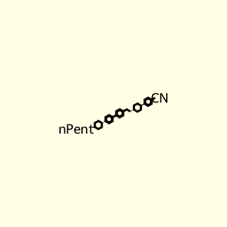 CCCCC[C@H]1CC[C@H](c2ccc(-c3ccc(CC[C@H]4CC[C@H](c5ccc(C#N)cc5)CC4)cc3)cc2)CC1